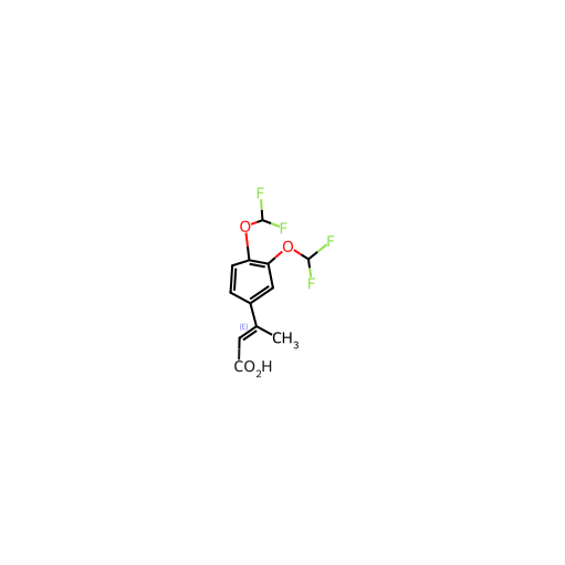 C/C(=C\C(=O)O)c1ccc(OC(F)F)c(OC(F)F)c1